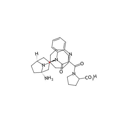 N[C@@]12CC[C@@H](C[C@@H](n3c(=O)c(C(=O)N4CCCC4C(=O)O)nc4ccccc43)C1)N2C1CCCCCCC1